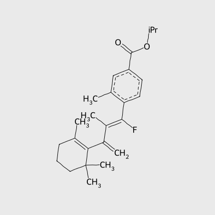 C=C(C1=C(C)CCCC1(C)C)/C(C)=C(\F)c1ccc(C(=O)OC(C)C)cc1C